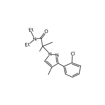 CCN(CC)C(=O)C(C)(C)n1cc(C)c(-c2ccccc2Cl)n1